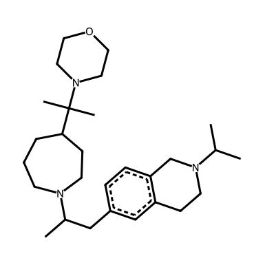 CC(C)N1CCc2cc(CC(C)N3CCCC(C(C)(C)N4CCOCC4)CC3)ccc2C1